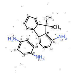 CC1(C)c2ccccc2-c2cccc(N)c21.Nc1ccc(N)cc1